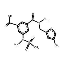 Cc1csc(CN(C)C(=O)c2cc(C(=O)O)cc(N(C)S(C)(=O)=O)c2)n1